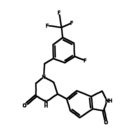 O=C1CN(Cc2cc(F)cc(C(F)(F)F)c2)CC(c2ccc3c(c2)CNC3=O)N1